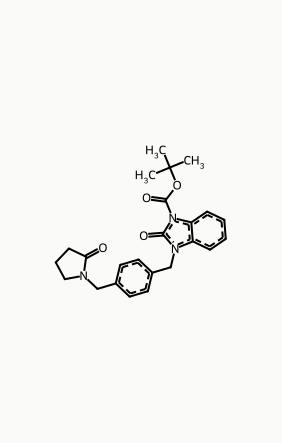 CC(C)(C)OC(=O)n1c(=O)n(Cc2ccc(CN3CCCC3=O)cc2)c2ccccc21